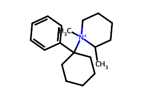 CC1CCCC[N+]1(C)C1(c2ccccc2)CCCCC1